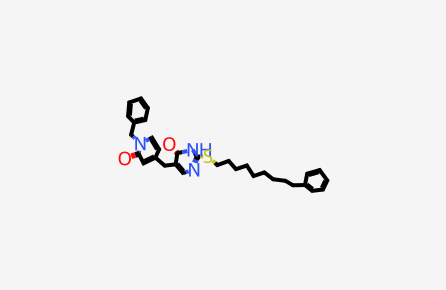 O=c1[nH]c(SCCCCCCCCCc2ccccc2)ncc1Cc1ccn(Cc2ccccc2)c(=O)c1